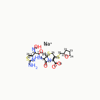 Nc1nc(/C(=N/O)C(=O)NC2C(=O)N3C(C(=O)[O-])=C(SCC4CCCO4)CS[C@H]23)cs1.[Na+]